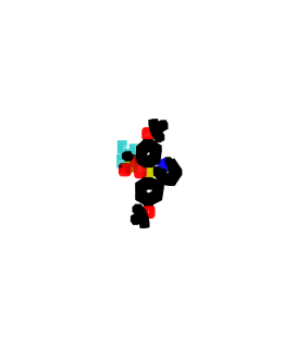 CC(C)(C)Oc1ccc(S(OS(=O)(=O)C(F)(F)F)(c2ccc(OC(C)(C)C)cc2)c2ccccn2)cc1